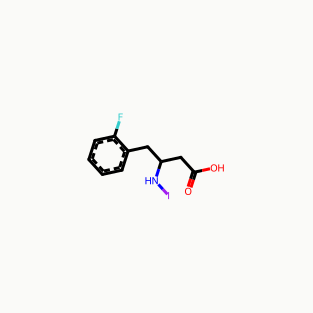 O=C(O)CC(Cc1ccccc1F)NI